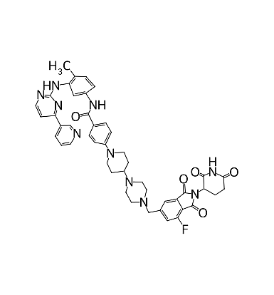 Cc1ccc(NC(=O)c2ccc(N3CCC(N4CCN(Cc5cc(F)c6c(c5)C(=O)N(C5CCC(=O)NC5=O)C6=O)CC4)CC3)cc2)cc1Nc1nccc(-c2cccnc2)n1